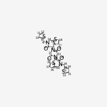 O=C1CN(CC(=O)N(Cc2cccs2)Cc2cccs2)C(=O)CN1CC(=O)N(Cc1cccs1)Cc1cccs1